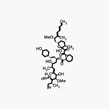 C=C/C=C/C=C(\C)[C@H](C[C@@H]1CC[C@@H](C)[C@](O)(C(=O)C(=O)N2CCCC[C@H]2C(=O)O[C@H](CC[C@H]2CC[C@H](O)CC2)C[C@@H](O)[C@H](C)/C=C(\C)[C@@H](O)[C@@H](OC)/C(=N/CCC)[C@H](C)CC(C)C)O1)OC